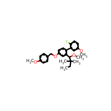 CCC(C)(C)C(OC)c1cc(OCc2ccc(OC)cc2)ccc1-c1cc(OC)ccc1F